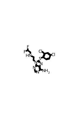 Nc1ncnc2c1nc(Sc1ccc(Cl)cc1Cl)n2CCNCC(F)F